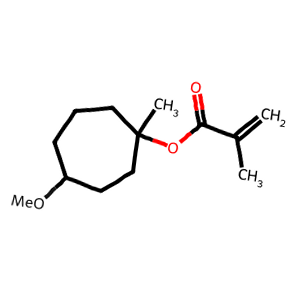 C=C(C)C(=O)OC1(C)CCCC(OC)CC1